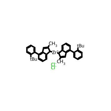 CC1=Cc2c(-c3ccccc3C(C)(C)C)cccc2[CH]1[Zr+2][CH]1C(C)=Cc2c(-c3ccccc3C(C)(C)C)cccc21.[Cl-].[Cl-]